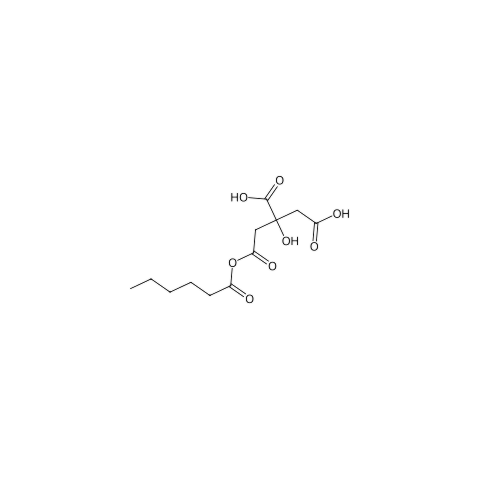 CCCCCC(=O)OC(=O)CC(O)(CC(=O)O)C(=O)O